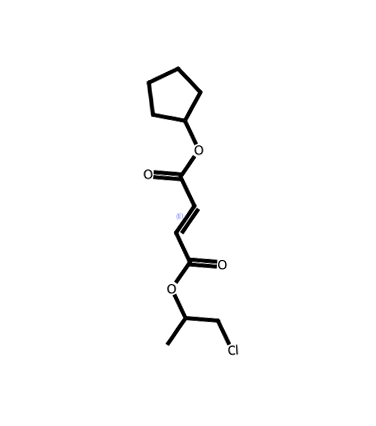 CC(CCl)OC(=O)/C=C/C(=O)OC1CCCC1